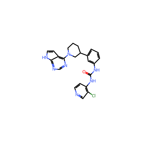 O=C(Nc1cccc(C2CCCN(c3ncnc4[nH]ccc34)C2)c1)Nc1ccncc1Cl